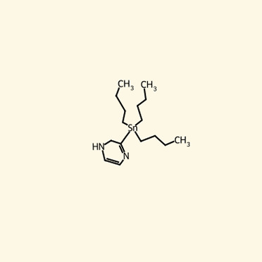 CCC[CH2][Sn]([CH2]CCC)([CH2]CCC)[C]1=NC=CNC1